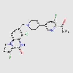 CNC(=O)c1ncc(C2=CCN(Cc3ccc4c([nH]c(=O)c5c(F)ccn54)c3F)CC2)cc1F